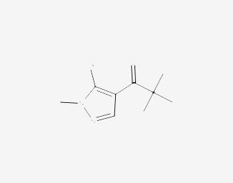 Cn1ncc(C(=O)C(C)(C)C)c1O